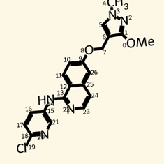 COc1nn(C)cc1COc1ccc2c(Nc3ccc(Cl)nc3)nccc2c1